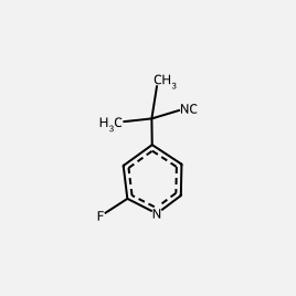 [C-]#[N+]C(C)(C)c1ccnc(F)c1